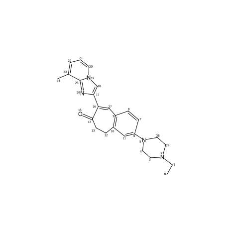 CCN1CCN(c2ccc3c(c2)CCC(=O)C(c2cn4cccc(C)c4n2)=C3)CC1